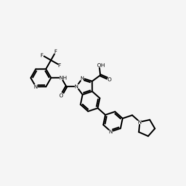 O=C(O)c1nn(C(=O)Nc2cnccc2C(F)(F)F)c2ccc(-c3cncc(CN4CCCC4)c3)cc12